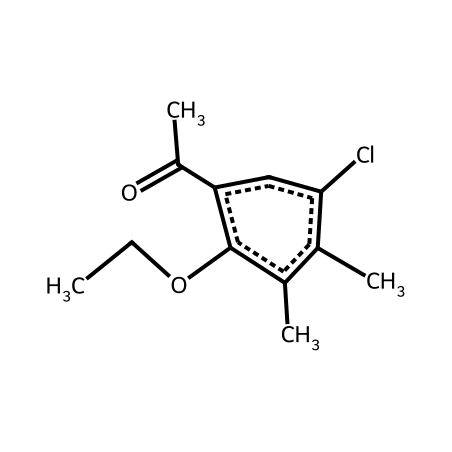 CCOc1c(C(C)=O)cc(Cl)c(C)c1C